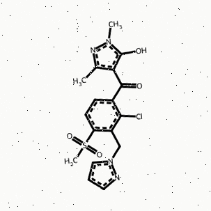 Cc1nn(C)c(O)c1C(=O)c1ccc(S(C)(=O)=O)c(Cn2cccn2)c1Cl